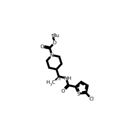 C[C@H](NC(=O)c1ccc(Cl)s1)C1CCN(C(=O)OC(C)(C)C)CC1